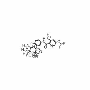 Cc1cc(OC(F)F)cnc1C(=O)Nc1ccc(F)c([C@@]23COC[C@@H]2S(O)(O)C(C)(C)C(N)=N3)c1